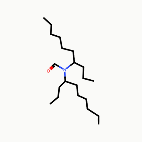 CCCCCCC(CCC)N(C=O)C(CCC)CCCCCC